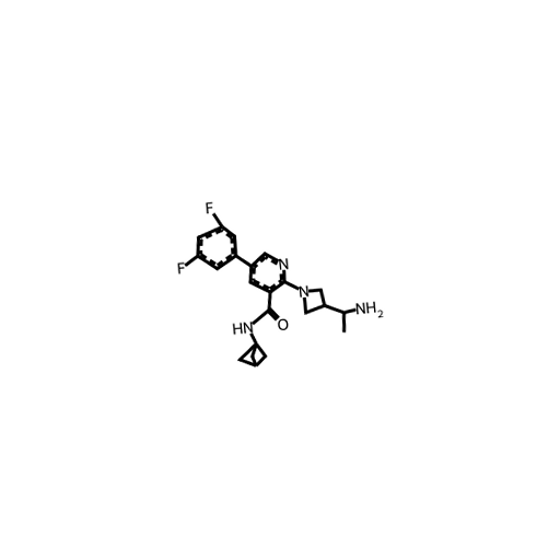 CC(N)C1CN(c2ncc(-c3cc(F)cc(F)c3)cc2C(=O)NC23CC(C2)C3)C1